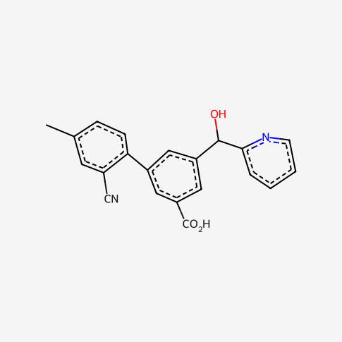 Cc1ccc(-c2cc(C(=O)O)cc(C(O)c3ccccn3)c2)c(C#N)c1